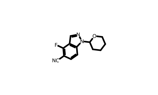 N#Cc1ccc2c(cnn2C2CCCCO2)c1F